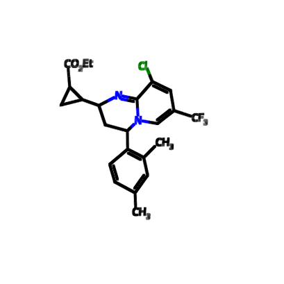 CCOC(=O)C1CC1C1CC(c2ccc(C)cc2C)N2C=C(C(F)(F)F)C=C(Cl)C2=N1